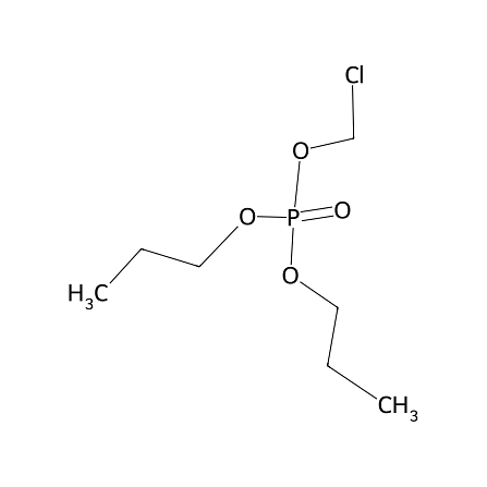 CCCOP(=O)(OCCl)OCCC